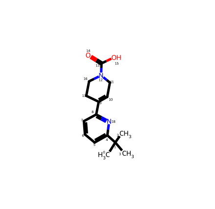 CC(C)(C)c1cccc(C2=CCN(C(=O)O)CC2)n1